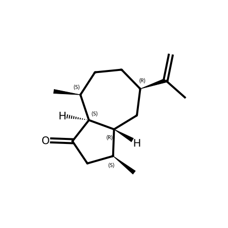 C=C(C)[C@@H]1CC[C@H](C)[C@@H]2C(=O)C[C@H](C)[C@H]2C1